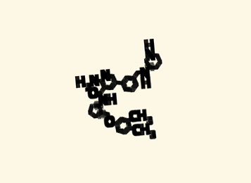 Cc1ccc(OC[C@H]2CCC[C@@H]2NC(=O)c2cc(-c3cccc(CN[C@H]4CCCNC4)c3)cnc2N)cc1C